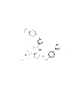 Cc1ncsc1-c1ccc([C@H](C)NC(=O)[C@@H]2C[C@@H](O[Si](C)(C)C(C)(C)C)CN2C(=O)[C@H](c2cc(OC3CCC4(CC3)OCCO4)no2)C(C)C)cc1